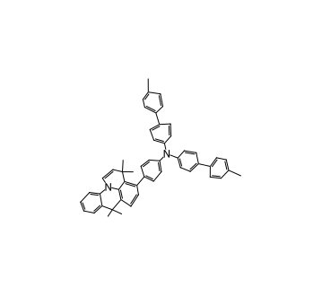 Cc1ccc(-c2ccc(N(c3ccc(-c4ccc(C)cc4)cc3)c3ccc(-c4ccc5c6c4C(C)(C)C=CN6c4ccccc4C5(C)C)cc3)cc2)cc1